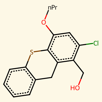 CCCOc1cc(Cl)c(CO)c2c1Sc1ccccc1C2